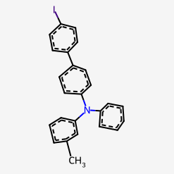 Cc1cccc(N(c2ccccc2)c2ccc(-c3ccc(I)cc3)cc2)c1